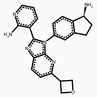 Nc1ncccc1-c1nc2ccc(C3COC3)nc2n1-c1ccc2c(c1)CC[C@@H]2N